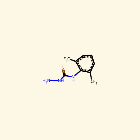 NNC(=S)Nc1c(C(F)(F)F)cccc1C(F)(F)F